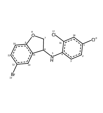 Clc1ccc(NC2COc3ccc(Br)cc32)c(Cl)c1